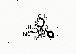 CC1CC[C@H](OC(=O)c2ccccc2)[C@@H](OP(OCCC#N)N(C(C)C)C(C)C)C(C)(C)SS1